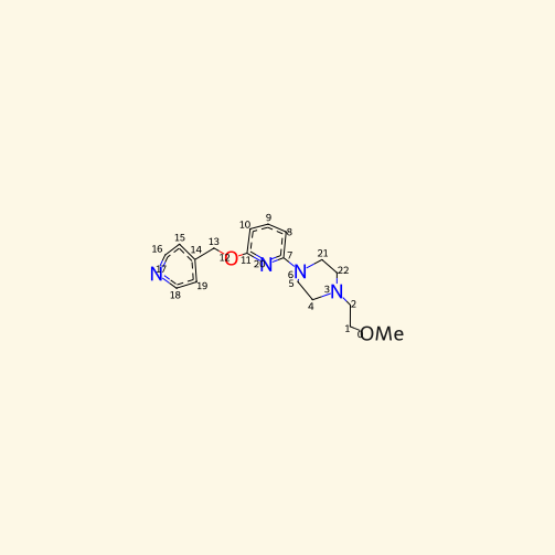 COCCN1CCN(c2cccc(OCc3ccncc3)n2)CC1